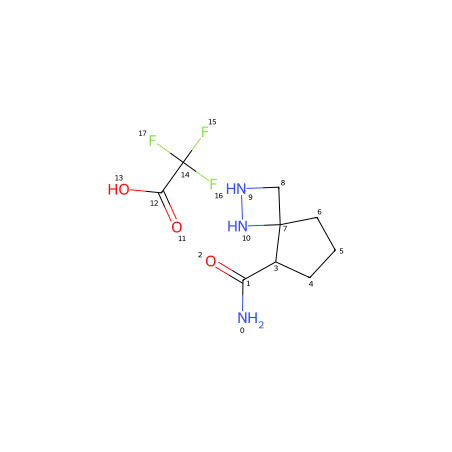 NC(=O)C1CCCC12CNN2.O=C(O)C(F)(F)F